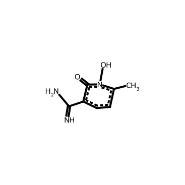 Cc1ccc(C(=N)N)c(=O)n1O